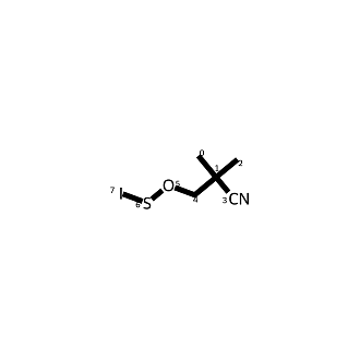 CC(C)(C#N)COSI